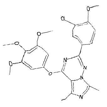 COc1ccc(-c2nc(Oc3cc(OC)c(OC)c(OC)c3)c3c(C)nc(C)n3n2)cc1Cl